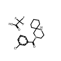 O=C(O)C(F)(F)F.O=C(c1cccc(Cl)c1)N1CCNC2(CCCCC2)C1